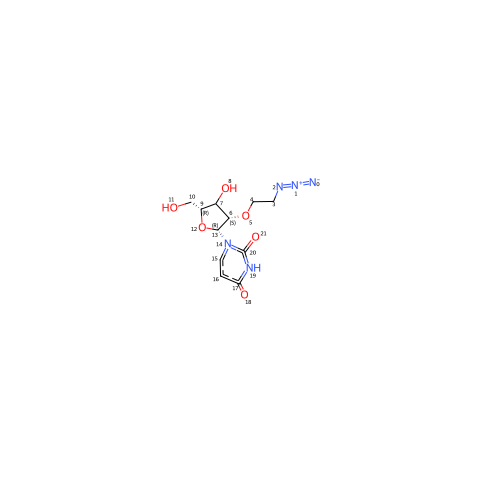 [N-]=[N+]=NCCO[C@H]1C(O)[C@@H](CO)O[C@H]1n1ccc(=O)[nH]c1=O